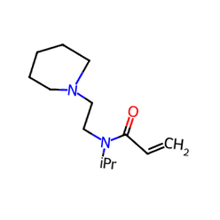 C=CC(=O)N(CCN1CCCCC1)C(C)C